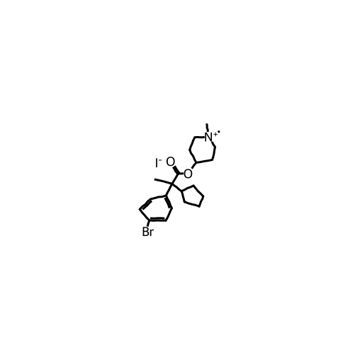 CC(C(=O)OC1CC[N+](C)(C)CC1)(c1ccc(Br)cc1)C1CCCC1.[I-]